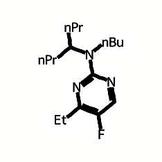 CCCCN(c1ncc(F)c(CC)n1)C(CCC)CCC